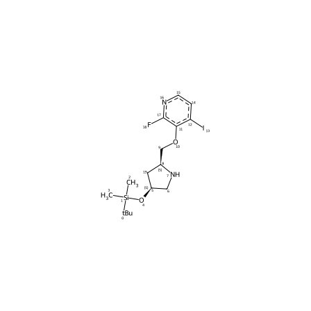 CC(C)(C)[Si](C)(C)O[C@@H]1CN[C@H](COc2c(I)ccnc2F)C1